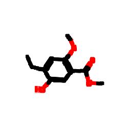 CCc1cc(OC)c(C(=O)OC)cc1O